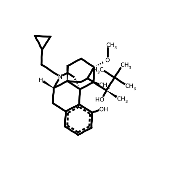 CO[C@@]12CC[C@]3(CC1[C@@](C)(O)C(C)(C)C)[C@@H]1Cc4cccc(O)c4[C@]3(CCN1CC1CC1)C2C